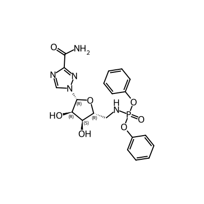 NC(=O)c1ncn([C@@H]2O[C@H](CNP(=O)(Oc3ccccc3)Oc3ccccc3)[C@@H](O)[C@H]2O)n1